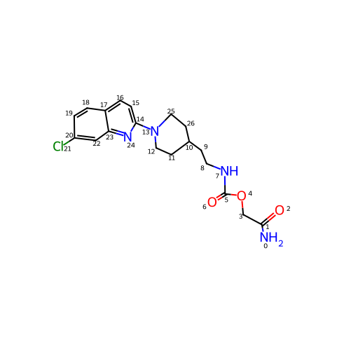 NC(=O)COC(=O)NCCC1CCN(c2ccc3ccc(Cl)cc3n2)CC1